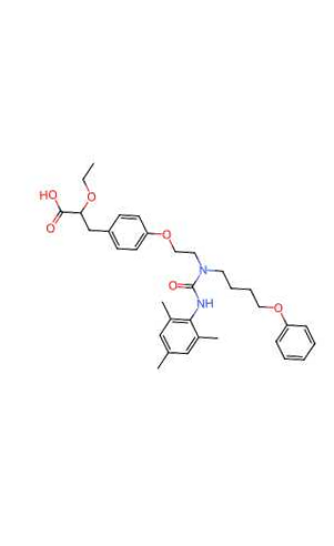 CCOC(Cc1ccc(OCCN(CCCCOc2ccccc2)C(=O)Nc2c(C)cc(C)cc2C)cc1)C(=O)O